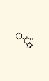 ON=C(Cn1cncn1)C1CCCCC1